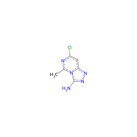 Cc1nc(Cl)cc2nnc(N)n12